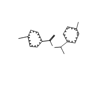 CC(NC(=O)c1ccc(F)cc1)c1ccc(O)cc1